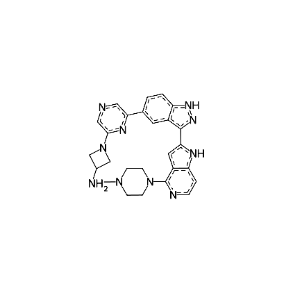 CN1CCN(c2nccc3[nH]c(-c4n[nH]c5ccc(-c6cncc(N7CC(N)C7)n6)cc45)cc23)CC1